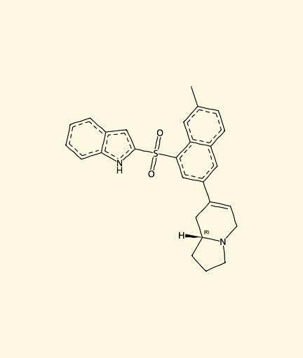 Cc1ccc2cc(C3=CCN4CCC[C@@H]4C3)cc(S(=O)(=O)c3cc4ccccc4[nH]3)c2c1